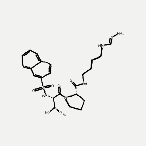 C[C@@H](O)[C@H](NS(=O)(=O)c1ccc2ccccc2c1)C(=O)N1CCC[C@H]1C(=O)NCCCCNC=NN